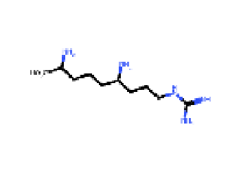 N=C(N)NCCCC(N)CCCC(N)C(=O)O